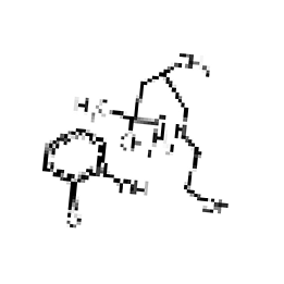 CC(CNCCO)CC(C)(C)C.O=c1ccccn1O